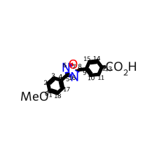 COc1ccc(-c2noc(C3=CCC(C(=O)O)C=C3)n2)cc1